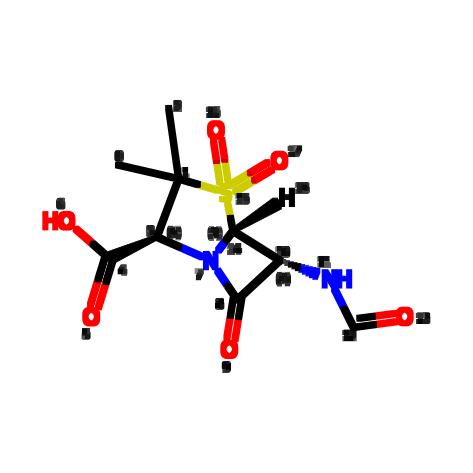 CC1(C)[C@H](C(=O)O)N2C(=O)[C@@H](NC=O)[C@H]2S1(=O)=O